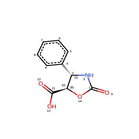 O=C1N[C@@H](c2ccccc2)[C@H](C(=O)O)O1